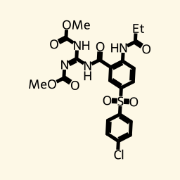 CCC(=O)Nc1ccc(S(=O)(=O)c2ccc(Cl)cc2)cc1C(=O)NC(=NC(=O)OC)NC(=O)OC